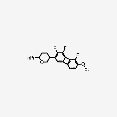 CCCC1CCC(c2cc3c(c(F)c2F)-c2c-3ccc(OCC)c2F)CO1